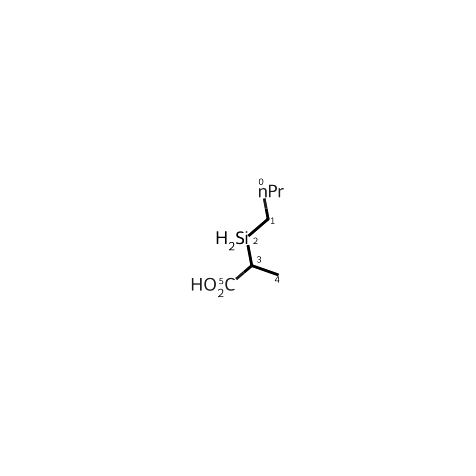 CCCC[SiH2]C(C)C(=O)O